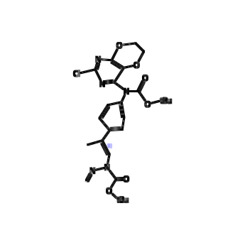 C=NN(/C=C(\C)c1ccc(N(C(=O)OC(C)(C)C)c2nc(Cl)nc3c2OCCO3)cc1)C(=O)OC(C)(C)C